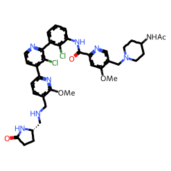 COc1cc(C(=O)Nc2cccc(-c3nccc(-c4ccc(CNC[C@@H]5CCC(=O)N5)c(OC)n4)c3Cl)c2Cl)ncc1CN1CCC(NC(C)=O)CC1